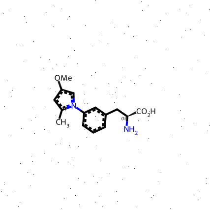 COc1cc(C)n(-c2cccc(C[C@H](N)C(=O)O)c2)c1